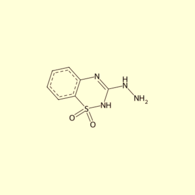 NNC1=Nc2ccccc2S(=O)(=O)N1